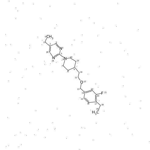 CCc1cnc(N2CCC(CCOCc3ccc(CC)c(F)c3)CC2)nc1